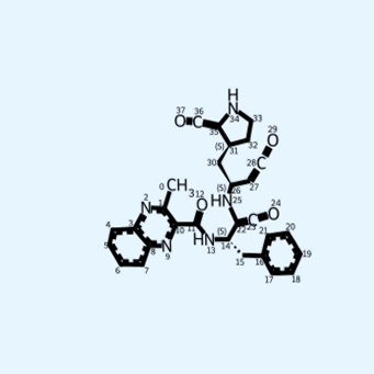 Cc1nc2ccccc2nc1C(=O)N[C@@H](Cc1ccccc1)C(=C=O)N[C@H](C=C=O)C[C@@H]1CCNC1=C=O